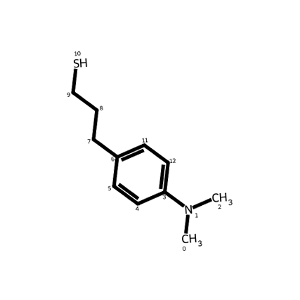 CN(C)c1ccc(CCCS)cc1